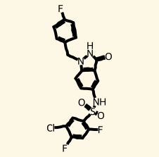 O=c1[nH]n(Cc2ccc(F)cc2)c2ccc(NS(=O)(=O)c3cc(Cl)c(F)cc3F)cc12